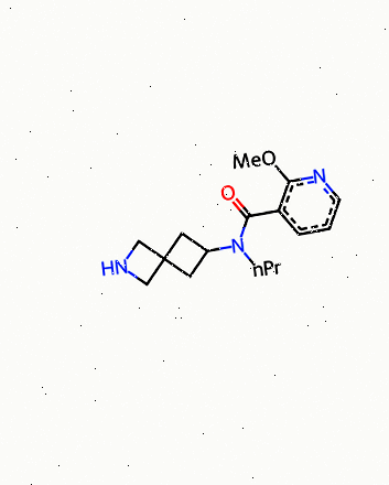 CCCN(C(=O)c1cccnc1OC)C1CC2(CNC2)C1